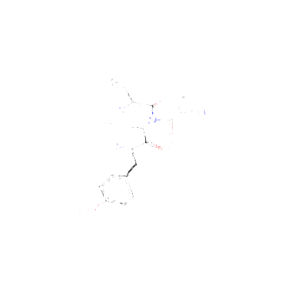 CC(C)CC(N)C(=O)N(C(=O)C1CCCN1)C(C(=O)O)C(=O)C(N)Cc1ccc(O)cc1